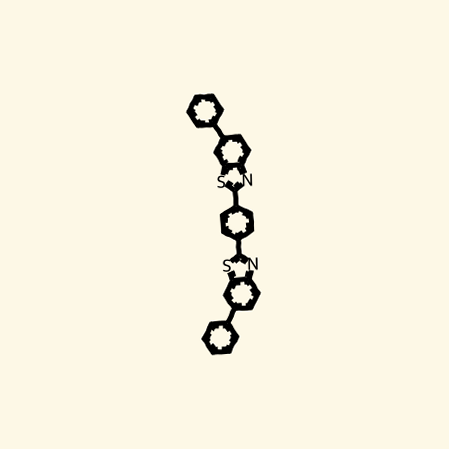 c1ccc(-c2ccc3nc(-c4ccc(-c5nc6ccc(-c7ccccc7)cc6s5)cc4)sc3c2)cc1